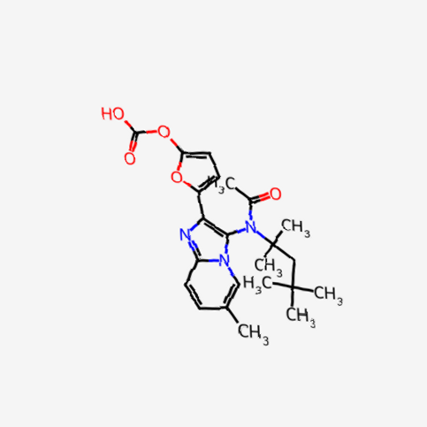 CC(=O)N(c1c(-c2ccc(OC(=O)O)o2)nc2ccc(C)cn12)C(C)(C)CC(C)(C)C